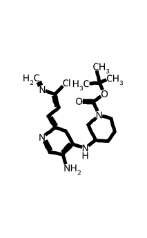 C=N/C(Cl)=C\C=C1/CC(NC2CCCN(C(=O)OC(C)(C)C)C2)=C(N)C=N1